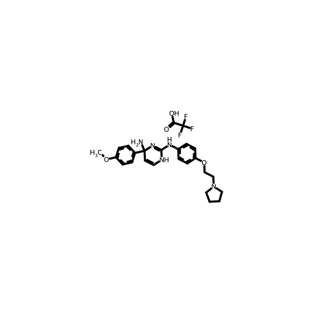 COc1ccc(C2(N)C=CNC(Nc3ccc(OCCN4CCCC4)cc3)=N2)cc1.O=C(O)C(F)(F)F